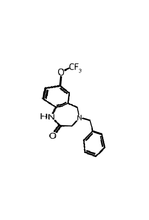 O=C1CN(Cc2ccccc2)Cc2cc(OC(F)(F)F)ccc2N1